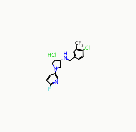 Cl.Fc1ccc(N2CC[C@H](NCc3ccc(Cl)c(C(F)(F)F)c3)C2)cn1